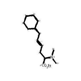 CCOC(=O)C(C/C=C/CC1CCCCC1)N(C)C